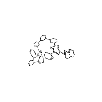 c1ccc(-c2cc(-c3ccc4ccccc4c3)nc(-c3cccc(-c4cccc(-c5cccc(-c6nc7cccc8c7n6-c6ccccc6-c6ccccc6-8)c5)c4)c3)n2)cc1